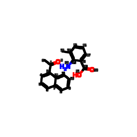 CC(=O)c1cccc2ccccc12.Cc1cccc(C(=O)O)c1N